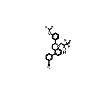 N#Cc1cccc(-c2cccc3c2CCC(c2cccc(OC(F)F)c2)N3CC(O)C(F)(F)F)c1